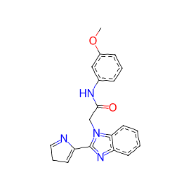 COc1cccc(NC(=O)Cn2c(C3=CCC=N3)nc3ccccc32)c1